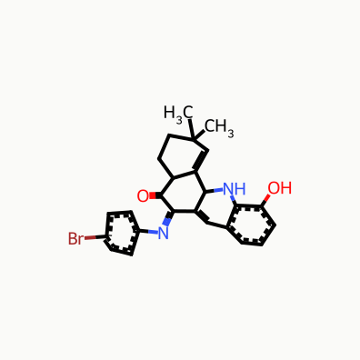 CC1(C)C=C2C(CC1)C(=O)/C(=N\c1ccc(Br)cc1)C1=Cc3cccc(O)c3NC12